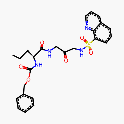 CCC[C@H](NC(=O)OCc1ccccc1)C(=O)NCC(=O)CNS(=O)(=O)c1cccc2cccnc12